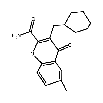 Cc1ccc2oc(C(N)=O)c(CC3CCCCC3)c(=O)c2c1